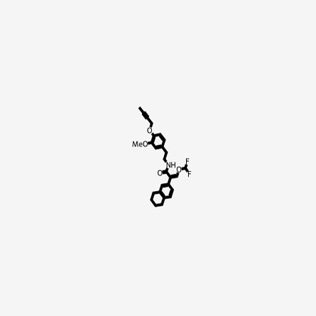 CC#CCOc1ccc(CCNC(=O)C(=COC(F)F)c2ccc3c(c2)CCCC3)cc1OC